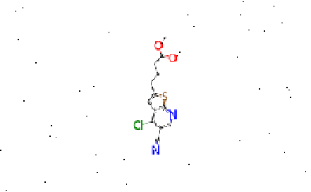 COC(=O)CCCc1cc2c(Cl)c(C#N)cnc2s1